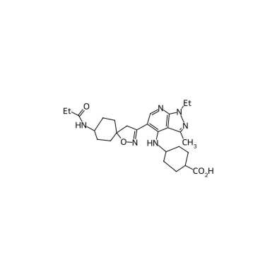 CCC(=O)NC1CCC2(CC1)CC(c1cnc3c(c(C)nn3CC)c1NC1CCC(C(=O)O)CC1)=NO2